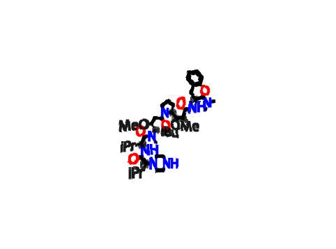 CC[C@H](C)[C@@H](C(CC(=O)N1CCC[C@H]1[C@H](OC)[C@@H](C)C(=O)N[C@@H](Cc1ccccc1)C(=O)N(C)C)OC)N(C)C(=O)[C@@H](NC(=O)[C@H](C(C)C)N1CCNCC1)C(C)C